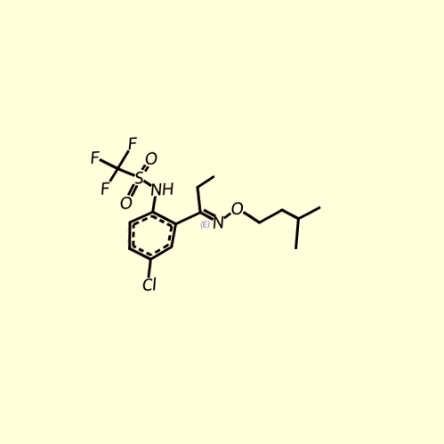 CC/C(=N\OCCC(C)C)c1cc(Cl)ccc1NS(=O)(=O)C(F)(F)F